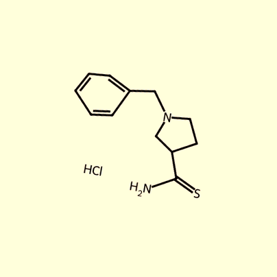 Cl.NC(=S)C1CCN(Cc2ccccc2)C1